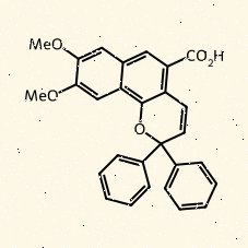 COc1cc2cc(C(=O)O)c3c(c2cc1OC)OC(c1ccccc1)(c1ccccc1)C=C3